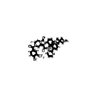 C[C@@H]1Cn2c(c(C(=O)NCc3ccccc3-c3ncccn3)n(-c3ccc(N4CC5(CN(C)C5)C4)cc3)c2=O)CN1C(=O)c1ccc(Br)c(C(F)(F)F)c1